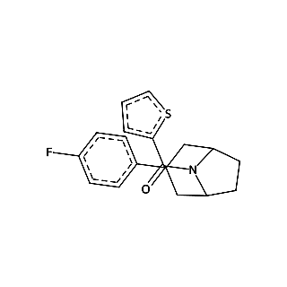 O=C(c1cccs1)N1C2CCC1CC(c1ccc(F)cc1)C2